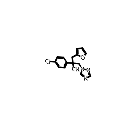 N#CC(Cc1ccco1)(Cn1cncn1)c1ccc(Cl)cc1